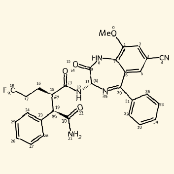 COc1cc(C#N)cc2c1NC(=O)[C@@H](NC(=O)[C@H](CCC(F)(F)F)[C@@H](C(N)=O)c1ccccc1)N=C2c1ccccc1